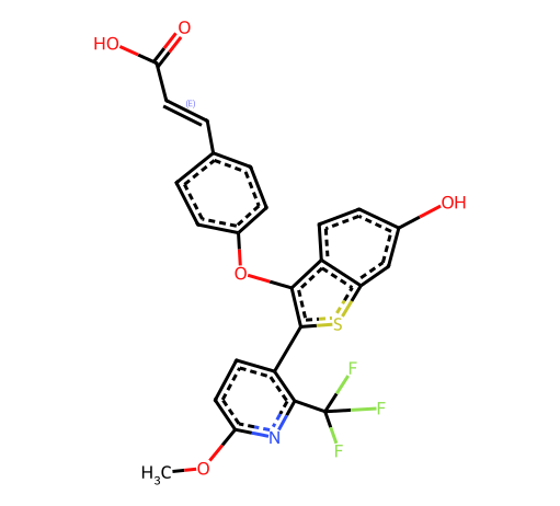 COc1ccc(-c2sc3cc(O)ccc3c2Oc2ccc(/C=C/C(=O)O)cc2)c(C(F)(F)F)n1